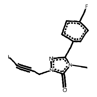 Cn1c(-c2ccc(F)cc2)nn(CC#CI)c1=O